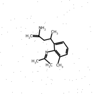 C=C(N)CC(C)c1cccc(C)c1N=C(C)C